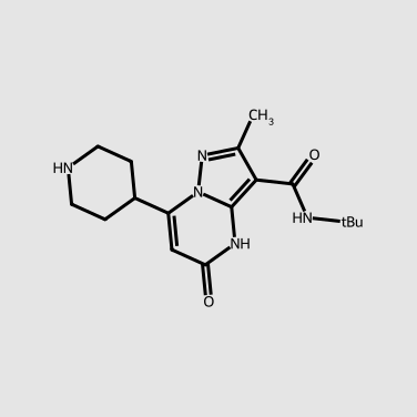 Cc1nn2c(C3CCNCC3)cc(=O)[nH]c2c1C(=O)NC(C)(C)C